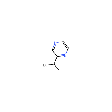 CCC(C)c1[c]nccn1